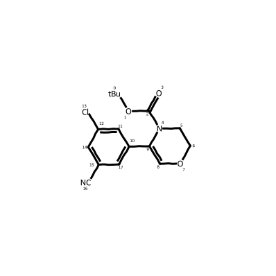 CC(C)(C)OC(=O)N1CCOC=C1c1cc(Cl)cc(C#N)c1